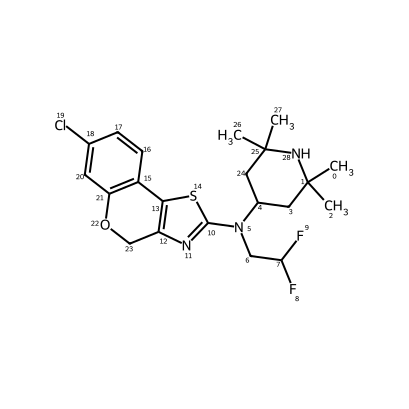 CC1(C)CC(N(CC(F)F)c2nc3c(s2)-c2ccc(Cl)cc2OC3)CC(C)(C)N1